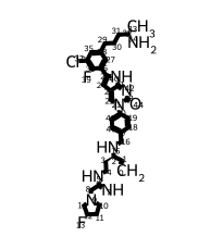 C=C[C@@H](CCNC(=N)CN1CC[C@H](F)C1)NCc1ccc(-n2cc3cc(-c4cc(CCC[C@H](C)N)cc(Cl)c4F)[nH]c3nc2=O)cc1